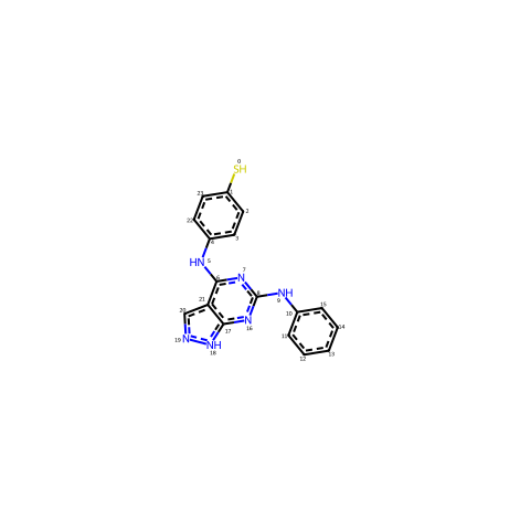 Sc1ccc(Nc2nc(Nc3ccccc3)nc3[nH]ncc23)cc1